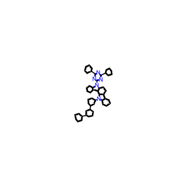 c1ccc(-c2cccc(-c3cccc(-n4c5ccccc5c5ccc6c(c7ccccc7n6-c6nc(-c7ccccc7)nc(-c7ccccc7)n6)c54)c3)c2)cc1